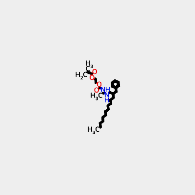 C=C(C)C(=O)OCCOC(=O)NC(C)NCC(CCCCCCCCCCCC)Cc1ccccc1